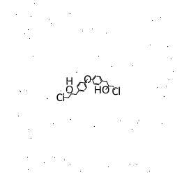 OC(CCl)Cc1ccc(Oc2ccc(CC(O)CCl)cc2)cc1